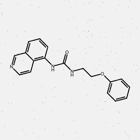 O=C(NCCOc1ccccc1)Nc1cccc2cnccc12